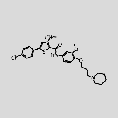 CNc1cc(-c2ccc(Cl)cc2)sc1C(=O)Nc1ccc(OCCCN2CCCCC2)c(OC)c1